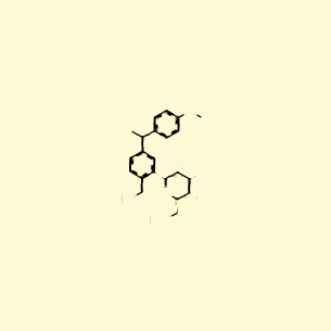 COc1ccc(C(C)c2ccc(CO)c([C@@H]3O[C@H](CO)[C@@H](O)[C@H](O)[C@H]3O)c2)cc1